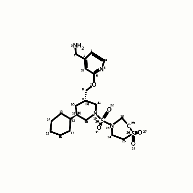 NCc1ccnc(OC[C@H]2C[C@H](C3CCCCC3)CN(S(=O)(=O)N3CCS(=O)(=O)CC3)C2)c1